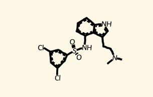 CN(C)CCc1c[nH]c2cccc(NS(=O)(=O)c3cc(Cl)cc(Cl)c3)c12